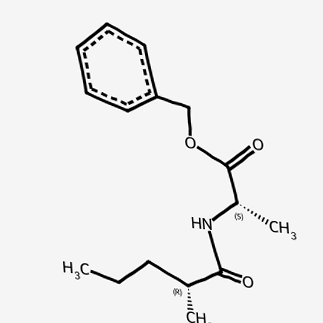 CCC[C@@H](C)C(=O)N[C@@H](C)C(=O)OCc1ccccc1